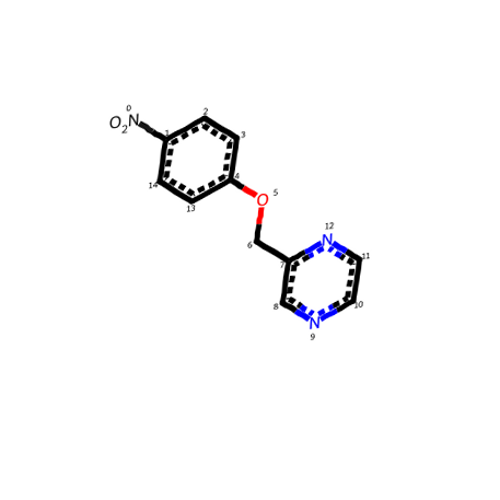 O=[N+]([O-])c1ccc(OCc2cnccn2)cc1